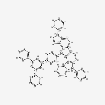 c1ccc(-c2nc(-c3ccccc3)nc(-c3ccc(-n4c5c(ccc6c5ccn6-c5ccccc5)c5ccc6c(c7ccccc7n6-c6ccccc6)c54)cc3)n2)cc1